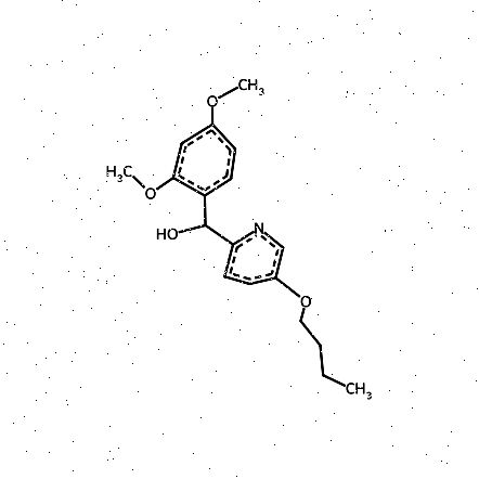 CCCCOc1ccc(C(O)c2ccc(OC)cc2OC)nc1